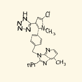 CCCc1nc2c(C)ccnc2n1Cc1ccc(-c2c(-c3nnn[nH]3)cc(Cl)n2C)cc1